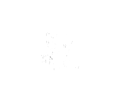 CCN(c1ncc(/C(N)=N/O)cc1CN1C(=O)O[C@H](c2cc(C(F)(F)F)cc(C(F)(F)F)c2)[C@@H]1C)C1CCCCC1